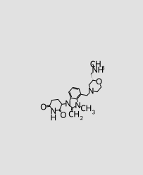 C=C1N(C)c2c(CN3CCO[C@@H](CNC)C3)cccc2N1C1CCC(=O)NC1=O